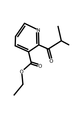 CCOC(=O)c1cccnc1C(=O)C(C)C